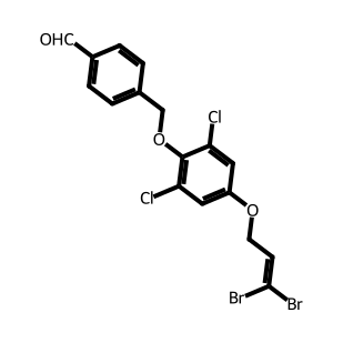 O=Cc1ccc(COc2c(Cl)cc(OCC=C(Br)Br)cc2Cl)cc1